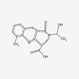 Cc1cccc2cc3c(=O)n(C(C)O)cc(C(=O)O)c3nc12